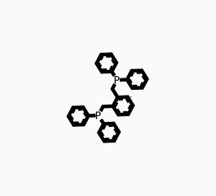 [c]1cccc(CP(c2ccccc2)c2ccccc2)c1CP(c1ccccc1)c1ccccc1